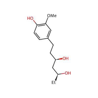 CC[C@H](O)C[C@H](O)CCc1ccc(O)c(OC)c1